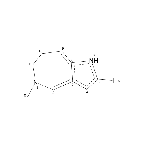 CN1C=c2cc(I)[nH]c2=CCC1